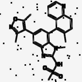 Cc1ccc2ncccc2c1-c1cc(-c2c(C)noc2C)cc2nc(NS(C)(=O)=O)n(C)c12